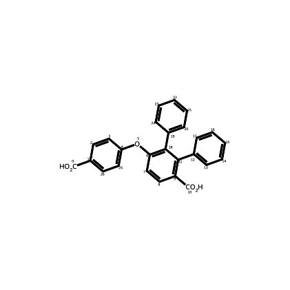 O=C(O)c1ccc(Oc2ccc(C(=O)O)c(-c3ccccc3)c2-c2ccccc2)cc1